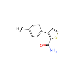 Cc1ccc(-c2ccsc2C(N)=O)cc1